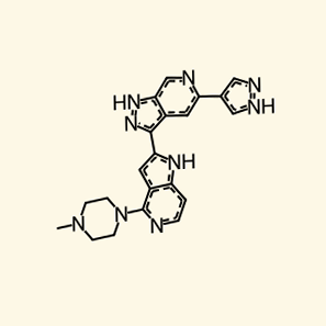 CN1CCN(c2nccc3[nH]c(-c4n[nH]c5cnc(-c6cn[nH]c6)cc45)cc23)CC1